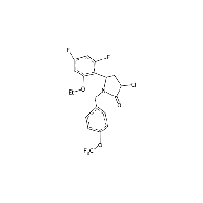 CCOc1cc(F)cc(F)c1C1CC(Cl)C(=O)N1Cc1ccc(OC(F)(F)F)cc1